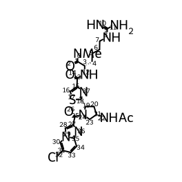 CNC(=O)[C@H](CCCCNC(=N)N)NC(=O)c1csc([C@@H]2C[C@@H](NC(C)=O)CN2C(=O)c2cn3cc(Cl)ccc3n2)n1